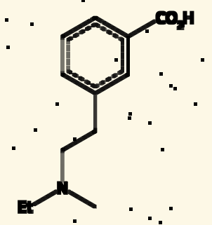 CCN(C)CCc1cccc(C(=O)O)c1